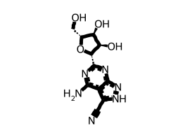 N#Cc1[nH]nc2nc([C@@H]3O[C@H](CO)[C@@H](O)[C@H]3O)nc(N)c12